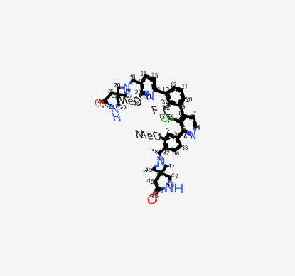 COc1cc(-c2nccc(-c3cccc(-c4ccc(CN5CC6(CNC(=O)C6)C5)c(OC)n4)c3C(F)(F)F)c2Cl)ccc1CN1CC2(CNC(=O)C2)C1